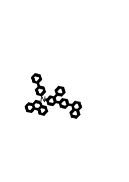 c1ccc(-c2ccc(N(c3ccc(-c4ccc(-c5cccc6ccccc56)cc4)c(-c4ccccc4)c3)c3cc4ccccc4c4ccccc34)cc2)cc1